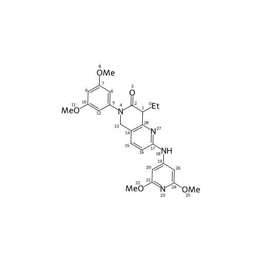 CCC1C(=O)N(c2cc(OC)cc(OC)c2)Cc2ccc(Nc3cc(OC)nc(OC)c3)nc21